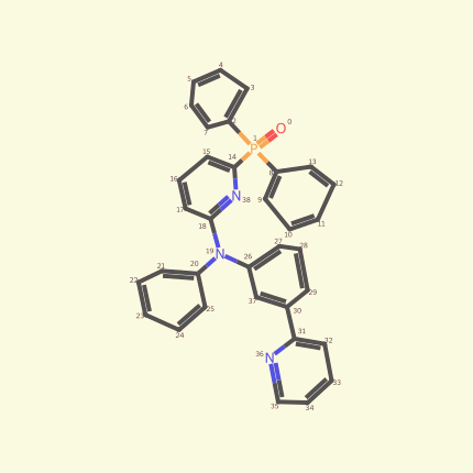 O=P(c1ccccc1)(c1ccccc1)c1cccc(N(c2ccccc2)c2cccc(-c3ccccn3)c2)n1